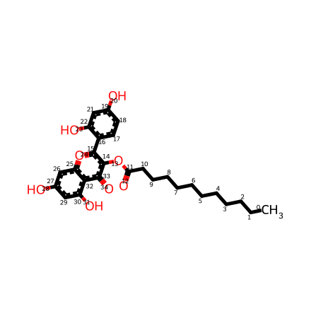 CCCCCCCCCCCC(=O)Oc1c(-c2ccc(O)cc2O)oc2cc(O)cc(O)c2c1=O